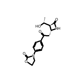 C[C@@H](O)[C@H]1C(=O)N[C@@H]1CC(=O)c1ccc(N2CCOC2=O)cc1